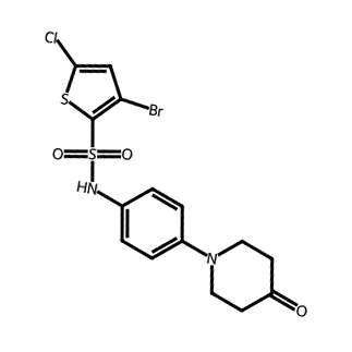 O=C1CCN(c2ccc(NS(=O)(=O)c3sc(Cl)cc3Br)cc2)CC1